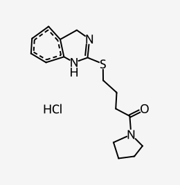 Cl.O=C(CCCSC1=NCc2ccccc2N1)N1CCCC1